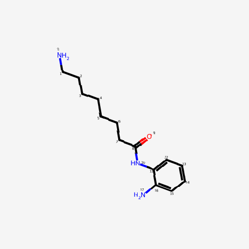 NCCCCCCCC(=O)Nc1ccccc1N